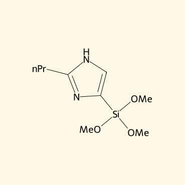 CCCc1nc([Si](OC)(OC)OC)c[nH]1